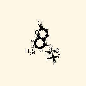 O=c1ccc2c(OS(=O)(=O)C(F)(F)F)cccc2o1.S